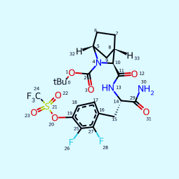 CC(C)(C)OC(=O)N1[C@@H]2CC[C@@H](C2)[C@H]1C(=O)N[C@@H](Cc1ccc(OS(=O)(=O)C(F)(F)F)c(F)c1F)C(N)=O